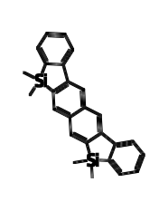 C[Si]1(C)c2ccccc2-c2cc3cc4c(cc3cc21)[Si](C)(C)c1ccccc1-4